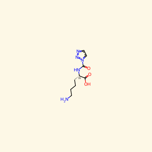 NCCCC[C@H](NC(=O)n1ccnn1)C(=O)O